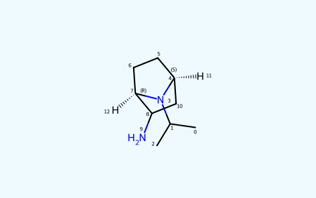 CC(C)N1[C@H]2CC[C@@H]1C(N)C2